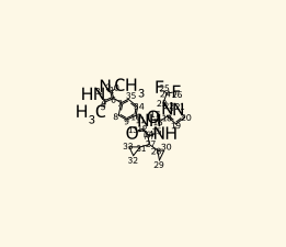 Cc1n[nH]c(C)c1-c1ccc(NC(=O)[C@@H](NC(=O)c2ccnn2CC(F)F)C(C2CC2)C2CC2)cc1